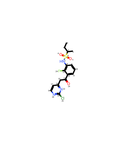 CCC(C)S(=O)(=O)Nc1cccc(C(=O)Cc2ccnc(Cl)n2)c1F